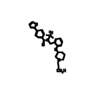 [2H]C(C)(C)N(Cc1ccccc1OC1CCCN(CCC(=O)O)C1)C(=O)c1ccc(-c2ccco2)cc1